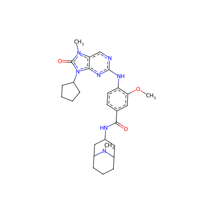 COc1cc(C(=O)NC2CC3CCCC(C2)N3C)ccc1Nc1ncc2c(n1)n(C1CCCC1)c(=O)n2C